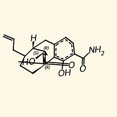 C=CCC1CC[C@]23CC(=O)CC[C@@]2(O)[C@H]1Cc1ccc(C(N)=O)c(O)c13